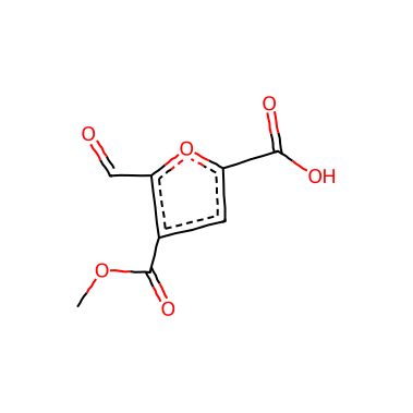 COC(=O)c1cc(C(=O)O)oc1C=O